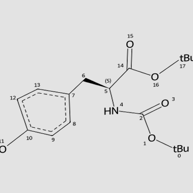 CC(C)(C)OC(=O)N[C@@H](Cc1ccc(O)cc1)C(=O)OC(C)(C)C